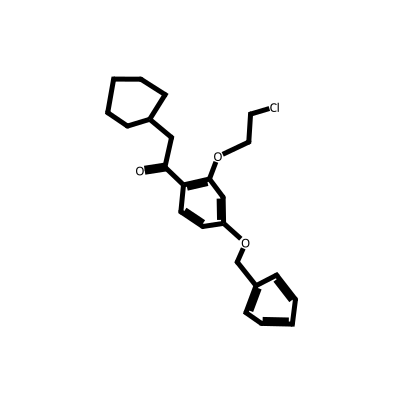 O=C(CC1CCCCC1)c1ccc(OCc2ccccc2)cc1OCCCl